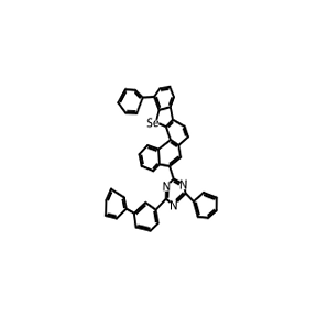 c1ccc(-c2cccc(-c3nc(-c4ccccc4)nc(-c4cc5ccc6c7cccc(-c8ccccc8)c7[se]c6c5c5ccccc45)n3)c2)cc1